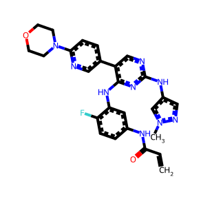 C=CC(=O)Nc1ccc(F)c(Nc2nc(Nc3cnn(C)c3)ncc2-c2ccc(N3CCOCC3)nc2)c1